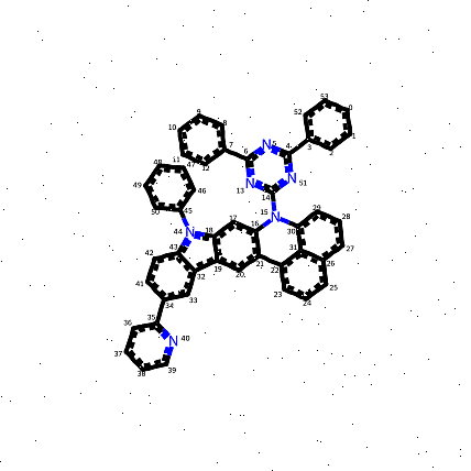 c1ccc(-c2nc(-c3ccccc3)nc(N3c4cc5c(cc4-c4cccc6cccc3c46)c3cc(-c4ccccn4)ccc3n5-c3ccccc3)n2)cc1